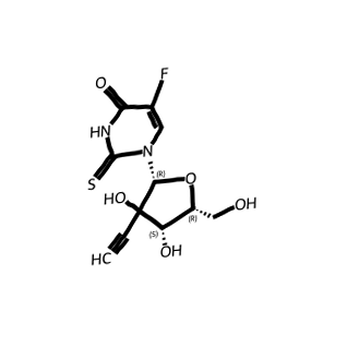 C#CC1(O)[C@@H](O)[C@@H](CO)O[C@H]1n1cc(F)c(=O)[nH]c1=S